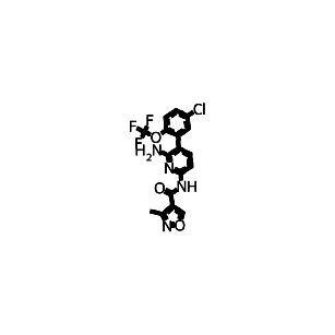 Cc1nocc1C(=O)Nc1ccc(-c2cc(Cl)ccc2OC(F)(F)F)c(N)n1